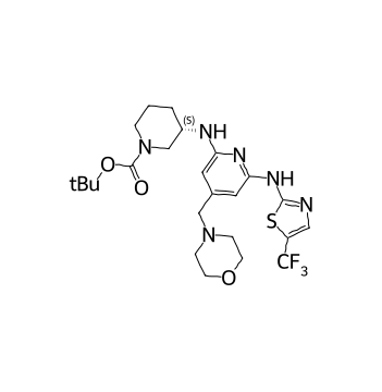 CC(C)(C)OC(=O)N1CCC[C@H](Nc2cc(CN3CCOCC3)cc(Nc3ncc(C(F)(F)F)s3)n2)C1